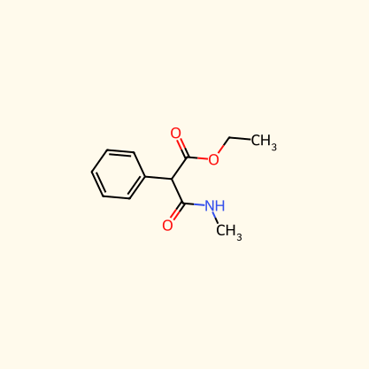 CCOC(=O)C(C(=O)NC)c1ccccc1